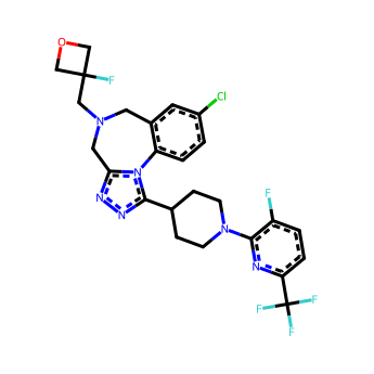 Fc1ccc(C(F)(F)F)nc1N1CCC(c2nnc3n2-c2ccc(Cl)cc2CN(CC2(F)COC2)C3)CC1